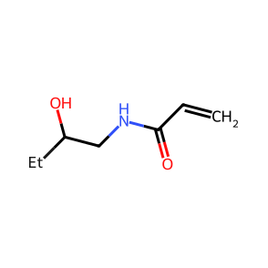 C=CC(=O)NCC(O)CC